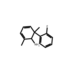 CC1=CC=CC(C)(c2ccccc2F)C1N